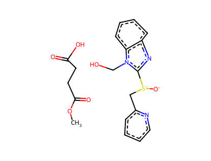 COC(=O)CCC(=O)O.[O-][S+](Cc1ccccn1)c1nc2ccccc2n1CO